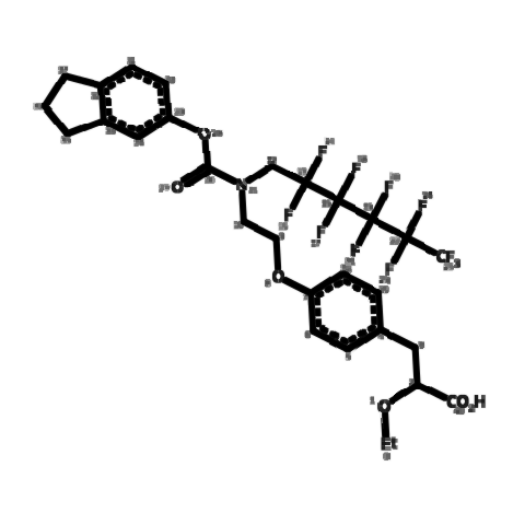 CCOC(Cc1ccc(OCCN(CC(F)(F)C(F)(F)C(F)(F)C(F)(F)C(F)(F)F)C(=O)Oc2ccc3c(c2)CCC3)cc1)C(=O)O